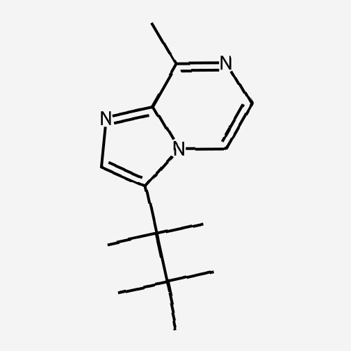 Cc1nccn2c(C(C)(C)C(C)(C)C)cnc12